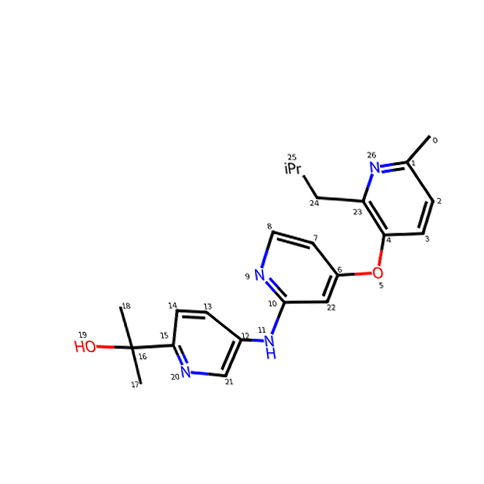 Cc1ccc(Oc2ccnc(Nc3ccc(C(C)(C)O)nc3)c2)c(CC(C)C)n1